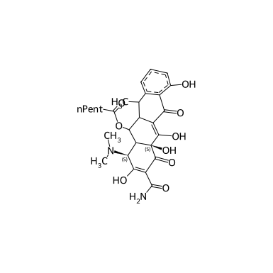 CCCCCC(=O)OC1C2C(=C(O)[C@]3(O)C(=O)C(C(N)=O)=C(O)[C@@H](N(C)C)C13)C(=O)c1c(O)cccc1C2C